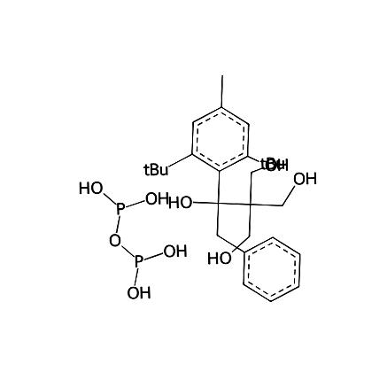 Cc1cc(C(C)(C)C)c(C(O)(Cc2ccccc2)C(CO)(CO)CO)c(C(C)(C)C)c1.OP(O)OP(O)O